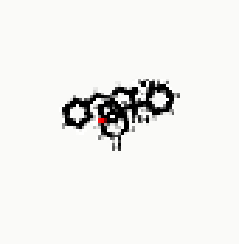 O/N=C(/CN(Cc1ccccc1)C1CCNCC1)C(O)(c1ccccc1)C1CCCC1